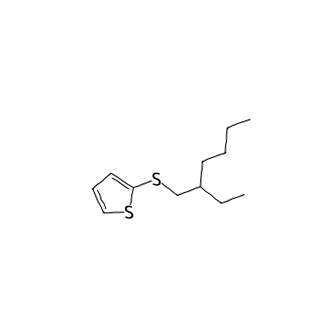 CCCCC(CC)CSc1cccs1